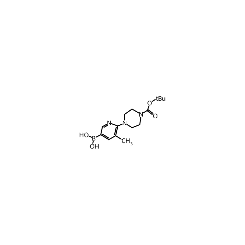 Cc1cc(B(O)O)cnc1N1CCN(C(=O)OC(C)(C)C)CC1